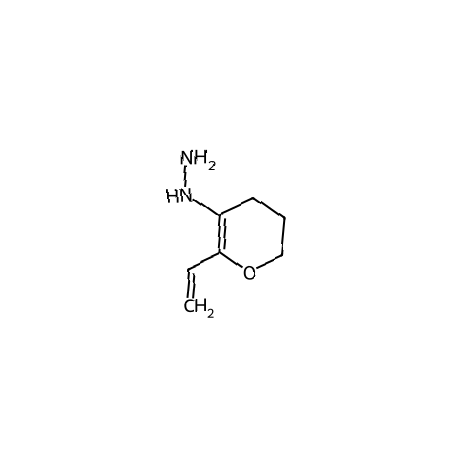 C=CC1=C(NN)CCCO1